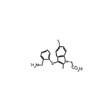 Cc1ccc2c(c1)c(Sc1ccccc1CN)c(C)n2CC(=O)O